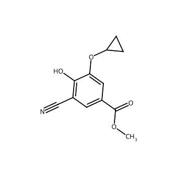 COC(=O)c1cc(C#N)c(O)c(OC2CC2)c1